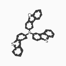 c1ccc2c(c1)oc1ccc(N(c3ccc4sc5ccccc5c4c3)c3ccc4sc5ccccc5c4c3)cc12